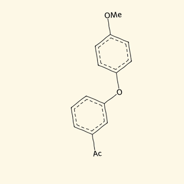 COc1ccc(Oc2cccc(C(C)=O)c2)cc1